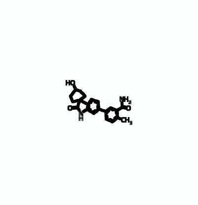 Cc1ccc(-c2ccc3c(c2)NC(=O)C32CCC(O)CC2)cc1C(N)=O